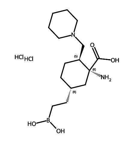 Cl.Cl.N[C@]1(C(=O)O)C[C@H](CCB(O)O)CC[C@H]1CN1CCCCC1